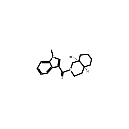 Cn1cc(C(=O)N2CC[C@@H]3CCCC[C@]3(O)C2)c2ccccc21